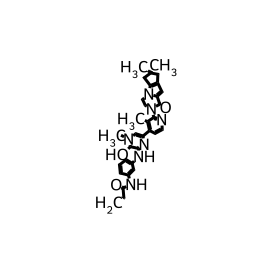 C=CC(=O)Nc1cccc(NC2=NC(c3ccnc(N4CCn5c(cc6c5CC(C)(C)C6)C4=O)c3C)=CN(C)C2O)c1